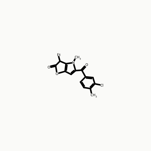 CCC1C(=O)Oc2cc(C(=O)c3ccc(C)c(Cl)c3)n(C)c21